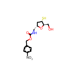 O=C(NC[C@@H]1C[C@H](S)[C@@H](CO)O1)OCc1ccc([N+](=O)[O-])cc1